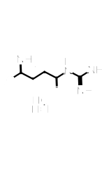 CC(N)CCC(F)NC(=N)N.Cl.Cl